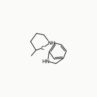 CC1CCCNC1.c1cc2cc(c1)NC2